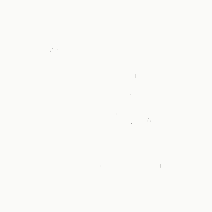 COc1ccc(COc2nc(-c3cc(O)cc(O)c3)ncc2C)cc1